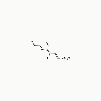 [3H]C(C=CC=C)=C([3H])C=CC(=O)O